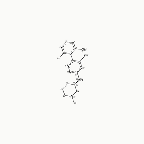 Cc1cccc(O)c1-c1nnc(N[C@@H]2CCCN(C)C2)cc1F